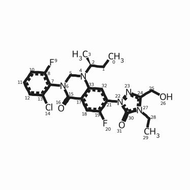 CC[C@H](C)N1CN(c2c(F)cccc2Cl)C(=O)c2cc(F)c(-n3nc(CO)n(CC)c3=O)cc21